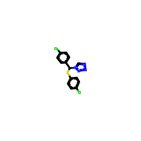 Clc1ccc(SC(c2ccc(Cl)cc2)n2cnnn2)cc1